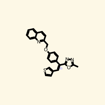 Cc1nnc(/C(=C/c2ccsc2)c2ccc(OCc3ccc4ccccc4n3)cc2)o1